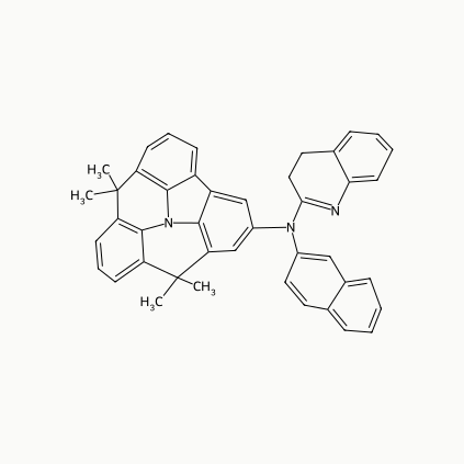 CC1(C)c2cccc3c2-n2c4c1cccc4c1cc(N(C4=Nc5ccccc5CC4)c4ccc5ccccc5c4)cc(c12)C3(C)C